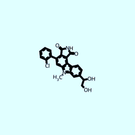 Cn1c2cc(C(O)CO)ccc2c2c3c(c(-c4ccccc4Cl)cc21)C(=O)NC3=O